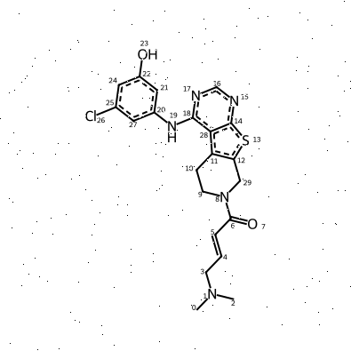 CN(C)CC=CC(=O)N1CCc2c(sc3ncnc(Nc4cc(O)cc(Cl)c4)c23)C1